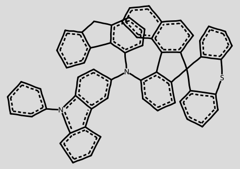 c1ccc(-n2c3ccccc3c3cc(N(c4cccc5c4-c4ccccc4C5)c4cccc5c4-c4c(ccc6ccccc46)C54c5ccccc5Sc5ccccc54)ccc32)cc1